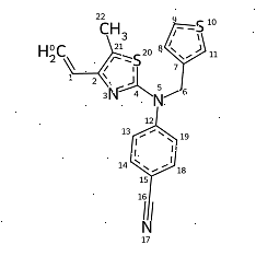 C=Cc1nc(N(Cc2ccsc2)c2ccc(C#N)cc2)sc1C